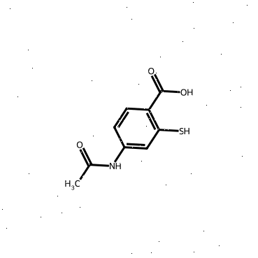 CC(=O)Nc1ccc(C(=O)O)c(S)c1